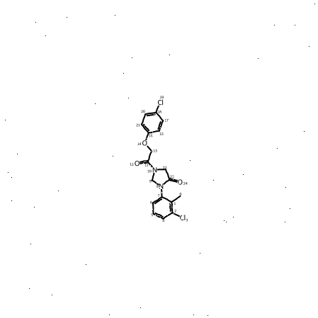 Cc1c(Cl)cccc1N1CN(C(=O)COc2ccc(Cl)cc2)CC1=O